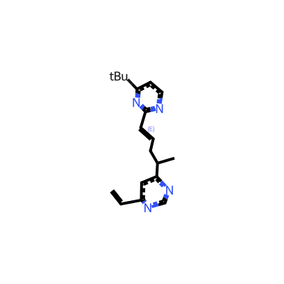 C=Cc1cc(C(C)C/C=C/c2nccc(C(C)(C)C)n2)ncn1